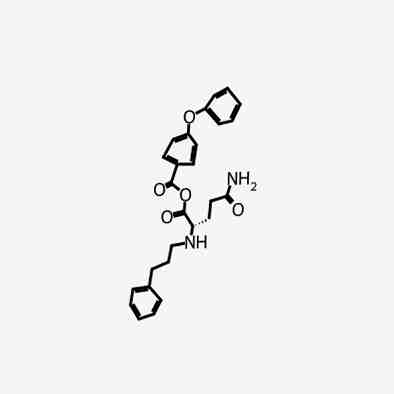 NC(=O)CC[C@H](NCCCc1ccccc1)C(=O)OC(=O)c1ccc(Oc2ccccc2)cc1